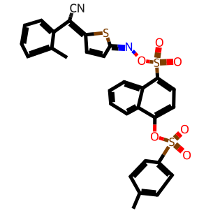 Cc1ccc(S(=O)(=O)Oc2ccc(S(=O)(=O)ON=C3C=CC(=C(C#N)c4ccccc4C)S3)c3ccccc23)cc1